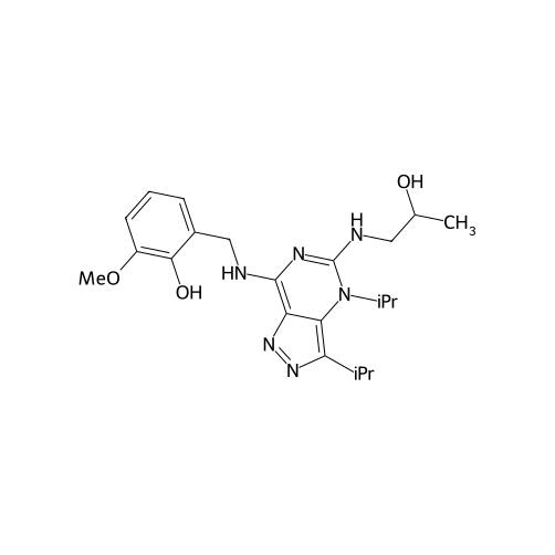 COc1cccc(CNc2nc(NCC(C)O)n(C(C)C)c3c(C(C)C)nnc2-3)c1O